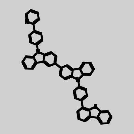 c1ccc(-c2ccc(-n3c4ccccc4c4cc(-c5ccc6c(c5)c5ccccc5n6-c5ccc(-c6cccc7c6sc6ccccc67)cc5)ccc43)cc2)nc1